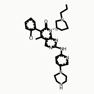 CCCN1CCC[C@H](n2c(=O)c(-c3ccccc3Cl)c(C)c3cnc(Nc4ccc(N5CCNCC5)cn4)nc32)C1